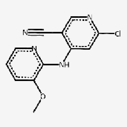 COc1cccnc1Nc1cc(Cl)ncc1C#N